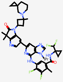 Cc1c(C(=O)NC2(C(F)F)CC2)cc(Nc2nc(-c3cnc4c(c3)N(C3CC(C)(N5CCCC6(CC6)C5)C3)C(=O)C4(C)C)cc3ncn(C(C)C)c23)c(F)c1F